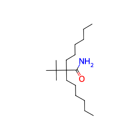 CCCCCCC(CCCCCC)(C(N)=O)C(C)(C)C